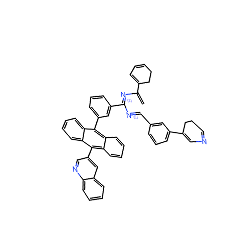 C=C(/N=C(\N=C\c1cccc(C2=CN=CCC2)c1)c1cccc(-c2c3ccccc3c(-c3cnc4ccccc4c3)c3ccccc23)c1)C1=CC=CCC1